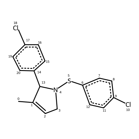 CC1=CCN(Sc2ccc(Cl)cc2)C1c1ccc(Cl)cc1